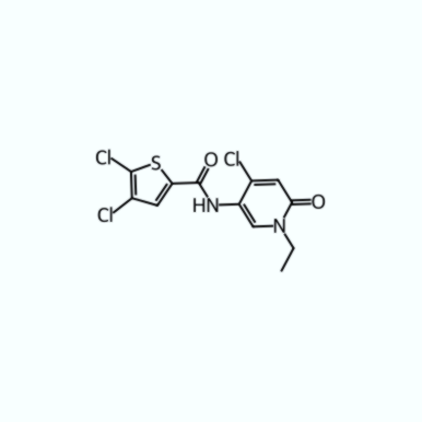 CCn1cc(NC(=O)c2cc(Cl)c(Cl)s2)c(Cl)cc1=O